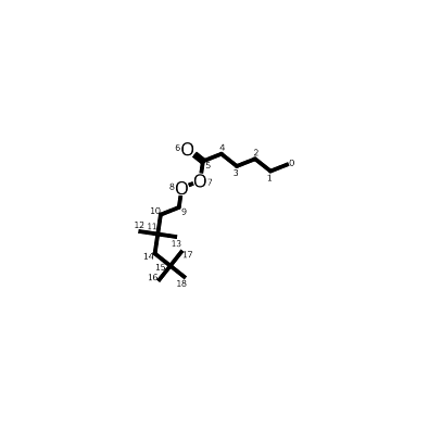 CCCCCC(=O)OOCCC(C)(C)CC(C)(C)C